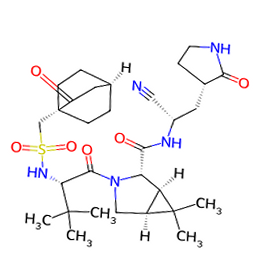 CC(C)(C)[C@H](NS(=O)(=O)C[C@]12CC[C@H](CC1)CC2=O)C(=O)N1C[C@H]2[C@@H]([C@H]1C(=O)N[C@H](C#N)C[C@@H]1CCNC1=O)C2(C)C